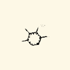 COc1c(Br)ccc(F)c1Cl